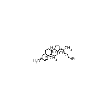 CC(C)CCC[C@@H](C)[C@H]1CCC2[C@@H]3CCC4C[C@H](N)C=C[C@]4(C)C3CC[C@@]21C